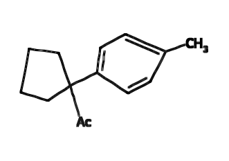 CC(=O)C1(c2ccc(C)cc2)CCCC1